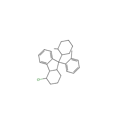 Cc1ccccc1C1(C2CCCCC2C)c2ccccc2C2C(Cl)CCCC21